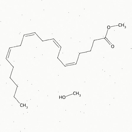 CCCCC/C=C\C/C=C\C/C=C\C/C=C\CCCC(=O)OC.CO